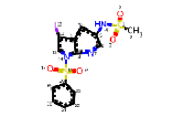 CS(=O)(=O)Nc1cnc2c(c1)c(I)cn2S(=O)(=O)c1ccccc1